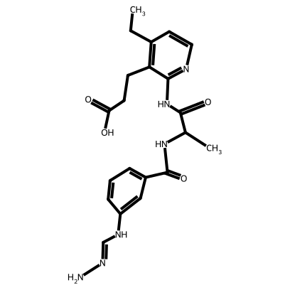 CCc1ccnc(NC(=O)C(C)NC(=O)c2cccc(NC=NN)c2)c1CCC(=O)O